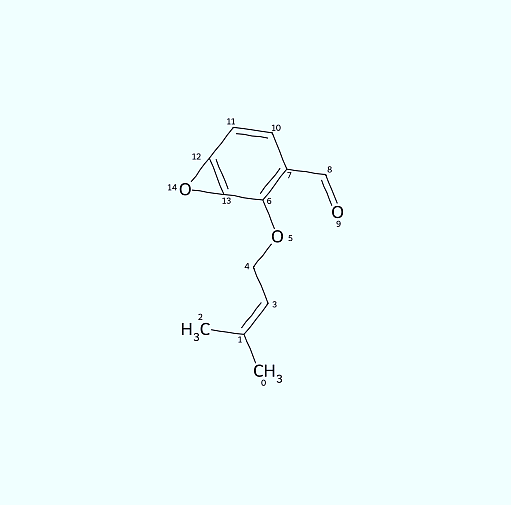 CC(C)=CCOc1c(C=O)ccc2c1O2